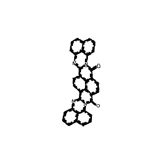 O=c1c2ccc3c(=O)n4c5cccc6cccc(nc4c4ccc(c2c34)c2nc3cccc4cccc(c43)n12)c65